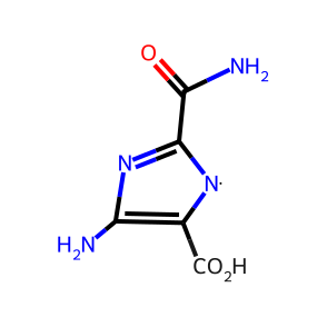 NC(=O)C1=NC(N)=C(C(=O)O)[N]1